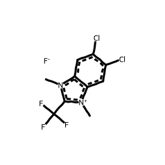 Cn1c(C(F)(F)F)[n+](C)c2cc(Cl)c(Cl)cc21.[F-]